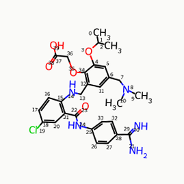 CC(C)Oc1cc(CN(C)C)cc(CNc2ccc(Cl)cc2C(=O)Nc2ccc(C(=N)N)cc2)c1OCC(=O)O